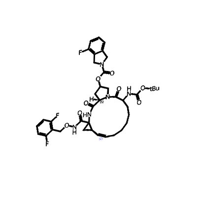 CC(C)(C)OC(=O)NC1CCCCC/C=C\C2CC2(C(=O)NOCc2c(F)cccc2F)NC(=O)[C@@H]2CC(OC(=O)N3Cc4cccc(F)c4C3)CN2C1=O